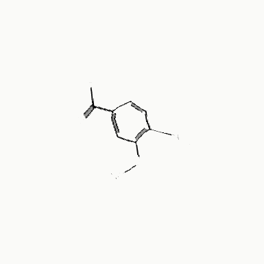 CCC(=O)c1ccc(N)c(SC#N)c1